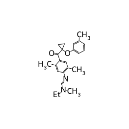 CCN(C)C=Nc1cc(C)c(C(=O)C2(Oc3cccc(C)c3)CC2)cc1C